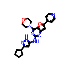 c1cc(-c2cc3nc(Nc4cc(C5CCCC5)n[nH]4)nc(N4CCOCC4)c3o2)ccn1